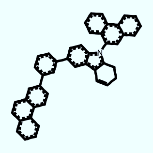 C1=Cc2c(n(-c3cc4ccccc4c4ccccc34)c3ccc(-c4cccc(-c5ccc6c(ccc7ccccc76)c5)c4)cc23)CC1